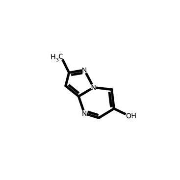 Cc1cc2ncc(O)cn2n1